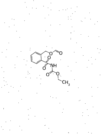 CCOC(=O)NS(=O)(=O)c1ccccc1COC=O